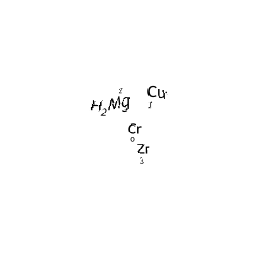 [Cr].[Cu].[MgH2].[Zr]